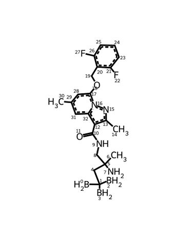 BC(B)(B)CC(C)(N)CNC(=O)c1c(C)nn2c(OCc3c(F)cccc3F)cc(C)cc12